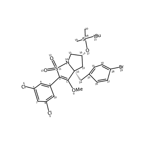 COC1=C(c2cc(Cl)cc(Cl)c2)S(=O)(=O)N2C[C@H](O[Si](C)(C)C(C)(C)C)C[C@@]12Cc1ccc(Br)cc1